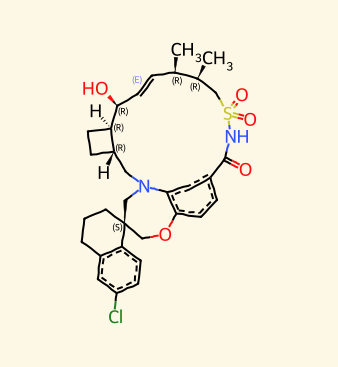 C[C@@H]1/C=C/[C@H](O)[C@@H]2CC[C@H]2CN2C[C@@]3(CCCc4cc(Cl)ccc43)COc3ccc(cc32)C(=O)NS(=O)(=O)C[C@@H]1C